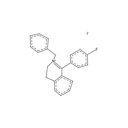 Fc1ccc(C2=[N+](Cc3ccccc3)CCc3ccccc32)cc1.[I-]